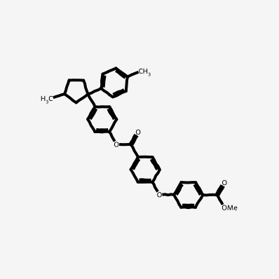 COC(=O)c1ccc(Oc2ccc(C(=O)Oc3ccc(C4(c5ccc(C)cc5)CCC(C)C4)cc3)cc2)cc1